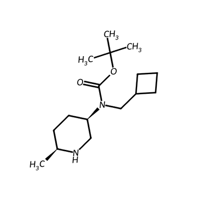 C[C@H]1CC[C@@H](N(CC2CCC2)C(=O)OC(C)(C)C)CN1